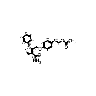 CC(=O)OCSc1ccc(OCc2c(C(N)=O)cnn2-c2ccccc2)cc1